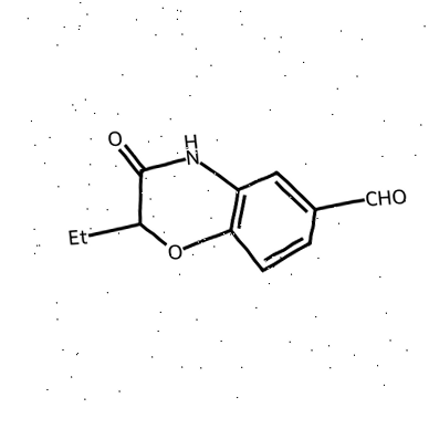 CCC1Oc2ccc(C=O)cc2NC1=O